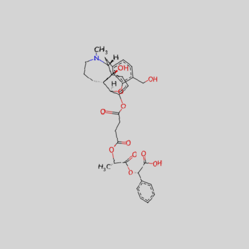 C[C@H](OC(=O)CCC(=O)OC1=CC[C@@]2(O)[C@H]3Cc4ccc(CO)c5c4[C@@]2(CCCN3C)[C@H]1O5)C(=O)O[C@H](C(=O)O)c1ccccc1